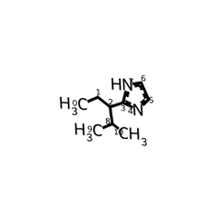 CCC(c1ncc[nH]1)C(C)C